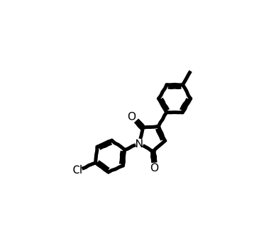 Cc1ccc(C2=CC(=O)N(c3ccc(Cl)cc3)C2=O)cc1